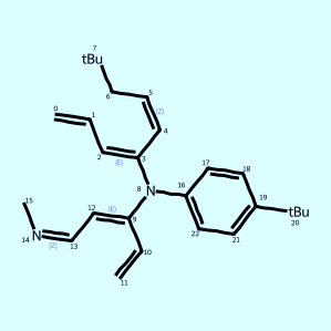 C=C/C=C(\C=C/CC(C)(C)C)N(/C(C=C)=C/C=N\C)c1ccc(C(C)(C)C)cc1